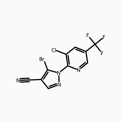 N#Cc1cnn(-c2ncc(C(F)(F)F)cc2Cl)c1Br